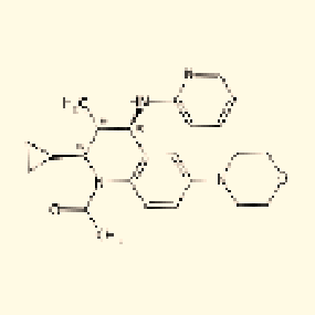 CC(=O)N1c2ccc(N3CCOCC3)cc2[C@H](Nc2ccccn2)[C@@H](C)[C@@H]1C1CC1